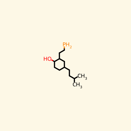 CC(C)CCC1CCC(O)C(CCP)C1